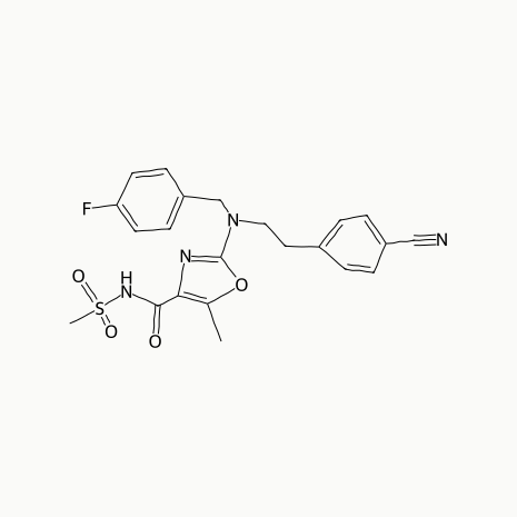 Cc1oc(N(CCc2ccc(C#N)cc2)Cc2ccc(F)cc2)nc1C(=O)NS(C)(=O)=O